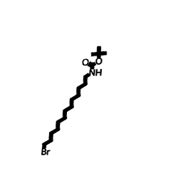 CC(C)(C)OC(=O)NCCCCCCCCCCCCCBr